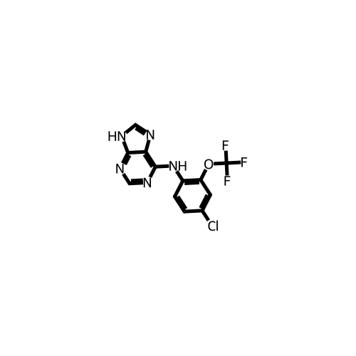 FC(F)(F)Oc1cc(Cl)ccc1Nc1ncnc2[nH]cnc12